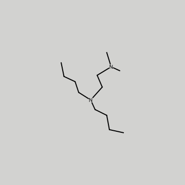 CCCCN(CCCC)CCN(C)C